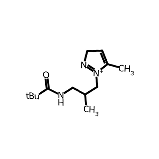 CC1=CCN=[N+]1CC(C)CNC(=O)C(C)(C)C